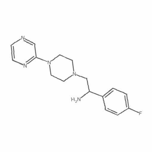 NC(CN1CCN(c2cnccn2)CC1)c1ccc(F)cc1